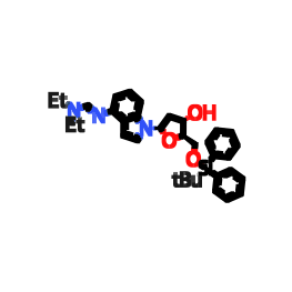 CCN(C=Nc1cccc2c1ccn2[C@@H]1C[C@H](O)[C@@H](CO[Si](c2ccccc2)(c2ccccc2)C(C)(C)C)O1)CC